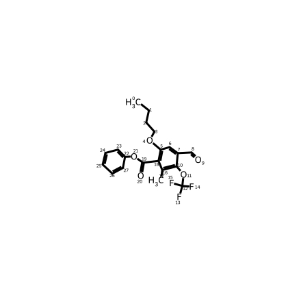 CCCCOc1cc(C=O)c(OC(F)(F)F)c(C)c1C(=O)Oc1ccccc1